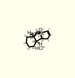 Cl.O=C(O)[C@@]12CC=CN1C[C@H]1CCCC[C@H]12